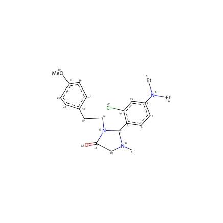 CCN(CC)c1ccc(C2N(C)CC(=O)N2CCc2ccc(OC)cc2)c(Cl)c1